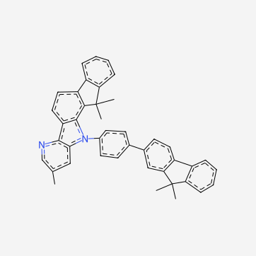 Cc1cnc2c3ccc4c(c3n(-c3ccc(-c5ccc6c(c5)C(C)(C)c5ccccc5-6)cc3)c2c1)C(C)(C)c1ccccc1-4